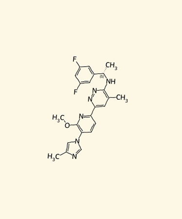 COc1nc(-c2cc(C)c(N[C@@H](C)c3cc(F)cc(F)c3)nn2)ccc1-n1cnc(C)c1